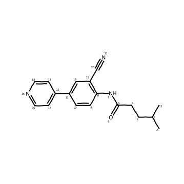 CC(C)CCC(=O)Nc1ccc(-c2ccncc2)cc1C#N